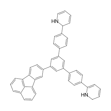 C1=CCNC(c2ccc(-c3cc(-c4ccc(C5C=CC=CN5)cc4)cc(-c4ccc5c(c4)-c4cccc6cccc-5c46)c3)cc2)=C1